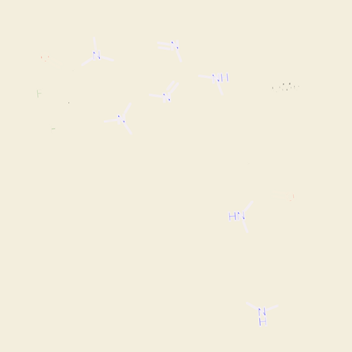 COc1cc(C(=O)NC2CCCNCC2)ccc1Nc1ncc2c(n1)N(c1ccccc1)CC(F)(F)C(=O)N2C